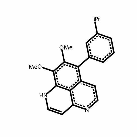 COc1c(OC)c2c3c(nccc3c1-c1cccc(C(C)C)c1)C=CN2